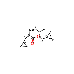 CC/C=C\C(CC1CC1)C(=O)OCC1CC1